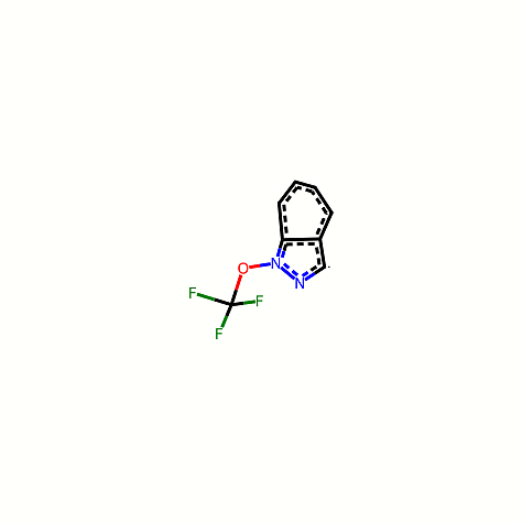 FC(F)(F)On1n[c]c2ccccc21